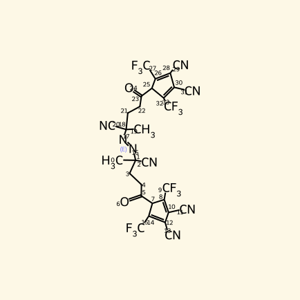 CC(C#N)(CCC(=O)C1C(C(F)(F)F)=C(C#N)C(C#N)=C1C(F)(F)F)/N=N/C(C)(C#N)CCC(=O)C1C(C(F)(F)F)=C(C#N)C(C#N)=C1C(F)(F)F